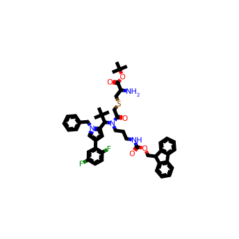 CC(C)(C)OC(=O)C(N)CSCC(=O)N(CCCNC(=O)OCC1c2ccccc2-c2ccccc21)C(c1cc(-c2cc(F)ccc2F)cn1Cc1ccccc1)C(C)(C)C